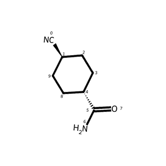 N#C[C@H]1CC[C@H](C(N)=O)CC1